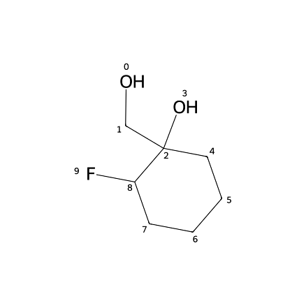 OCC1(O)CCCCC1F